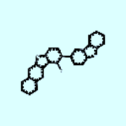 Clc1c(-c2ccc3sc4ccccc4c3c2)ccc2oc3cc4ccccc4cc3c12